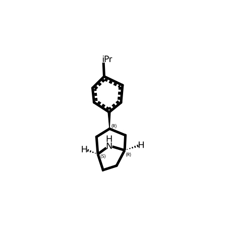 CC(C)c1ccc([C@H]2C[C@H]3CC[C@@H](C2)N3)cc1